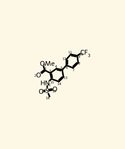 COC(=O)c1cc(-c2ccc(C(F)(F)F)cc2)ccc1NS(C)(=O)=O